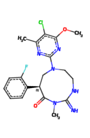 COc1nc(N2CCNC(=N)N(C)C(=O)[C@@H](c3ccccc3F)C2)nc(C)c1Cl